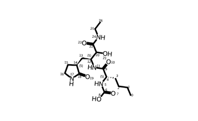 CCCC[C@H](NC(=O)O)C(=O)N[C@@H](C[C@@H]1CCNC1=O)C(O)C(=O)NCC